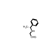 C[C@@H](NC[C]=O)c1ccccc1